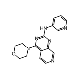 c1cncc(Nc2nc(N3CCOCC3)c3ccncc3n2)c1